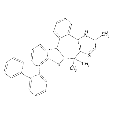 CC1C=NC2=C(N1)c1ccccc1C1c3cccc(-c4ccccc4-c4ccccc4)c3SC1C2(C)C